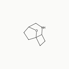 C1CC23CCC2NCC1O3